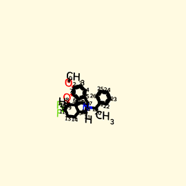 COc1ccc2c3c1O[C@@H]1C(F)(F)CCC4[C@H](C2)N(C(C)c2ccccc2)CCC341